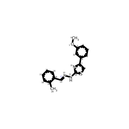 COc1cccc(-c2csc(N/N=C/c3ccccc3C)n2)c1